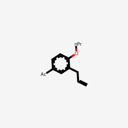 C=CCc1cc(C(C)=O)ccc1OCCC